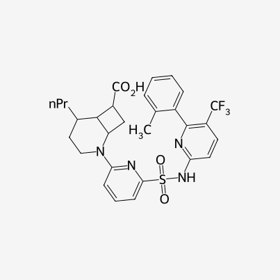 CCCC1CCN(c2cccc(S(=O)(=O)Nc3ccc(C(F)(F)F)c(-c4ccccc4C)n3)n2)C2CC(C(=O)O)C12